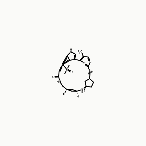 CP(C)(=O)c1c2ccc3c(c[nH]c13)-c1nc(ncc1C(F)(F)F)N[C@H]1CC[C@@H](C1)N[C@H]1C[C@H](CNC2=O)C1